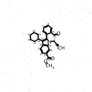 C#CCn1c(-c2ccccc2C=O)c(C2CCCCC2)c2ccc(C(=O)OC)cc21